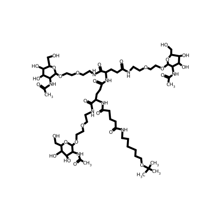 CC(=O)NC1C(OCCOCCNC(=O)CCC(NC(=O)CCC(NC(=O)CCCC(=O)NCCCCCCOC(C)(C)C)C(=O)NCCOCCOC2OC(CO)C(O)C(O)C2NC(C)=O)C(=O)NCCOCCOC2OC(CO)C(O)C(O)C2NC(C)=O)OC(CO)C(O)C1O